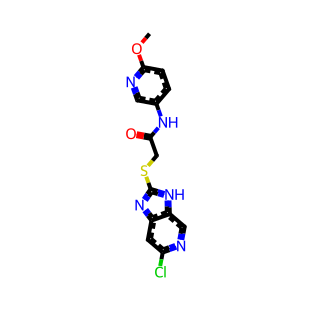 COc1ccc(NC(=O)CSc2nc3cc(Cl)ncc3[nH]2)cn1